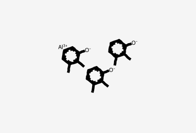 Cc1cccc([O-])c1C.Cc1cccc([O-])c1C.Cc1cccc([O-])c1C.[Al+3]